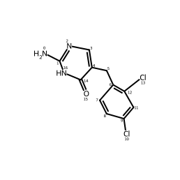 Nc1ncc(Cc2ccc(Cl)cc2Cl)c(=O)[nH]1